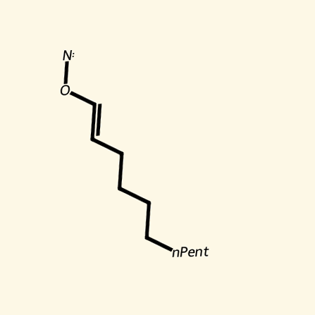 CCCCCCCCCC=CO[N]